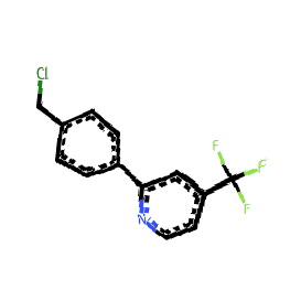 FC(F)(F)c1ccnc(-c2ccc(CCl)cc2)c1